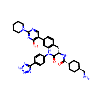 NC[C@H]1CC[C@H](C(=O)N[C@@H](Cc2ccc(-c3cnc(N4CCCCC4)nc3O)cc2)C(=O)Nc2ccc(-c3nn[nH]n3)cc2)CC1